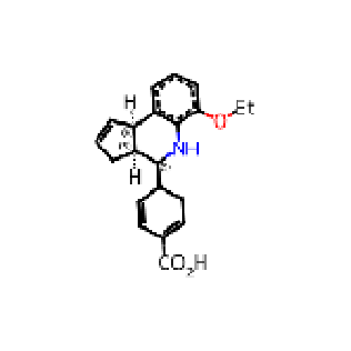 CCOc1cccc2c1N[C@@H](C1C=CC(C(=O)O)=CC1)[C@H]1CC=C[C@@H]21